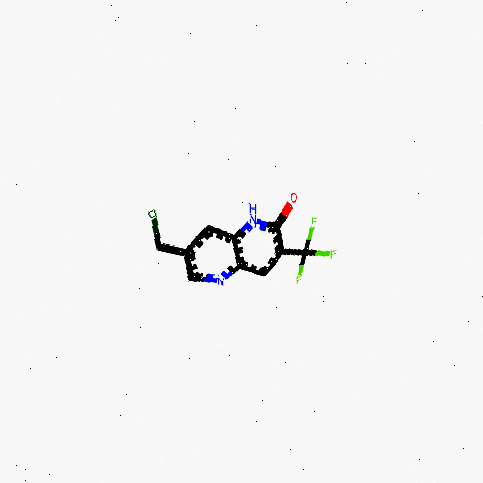 O=c1[nH]c2cc(CCl)cnc2cc1C(F)(F)F